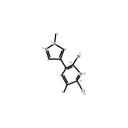 Cc1cc(-c2cnn(C)c2)c(Br)nc1Cl